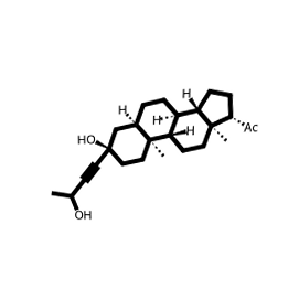 CC(=O)[C@H]1CC[C@H]2[C@@H]3CC[C@@H]4C[C@@](O)(C#CC(C)O)CC[C@]4(C)[C@H]3CC[C@]12C